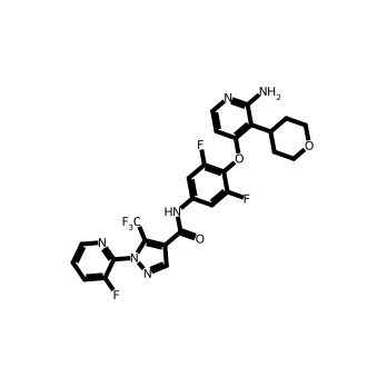 Nc1nccc(Oc2c(F)cc(NC(=O)c3cnn(-c4ncccc4F)c3C(F)(F)F)cc2F)c1C1CCOCC1